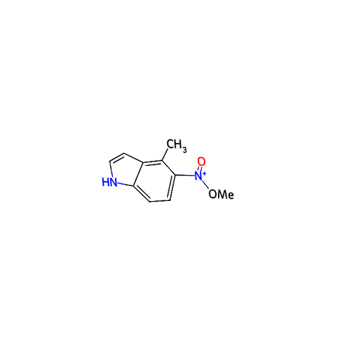 CO[N+](=O)c1ccc2[nH]ccc2c1C